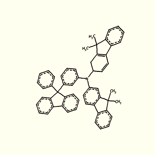 CC1(C)C2=C(C=CC(N(c3cccc(C4(c5ccccc5)c5ccccc5-c5ccccc54)c3)c3ccc4c(c3)C(C)(C)c3ccccc3-4)C2)c2ccccc21